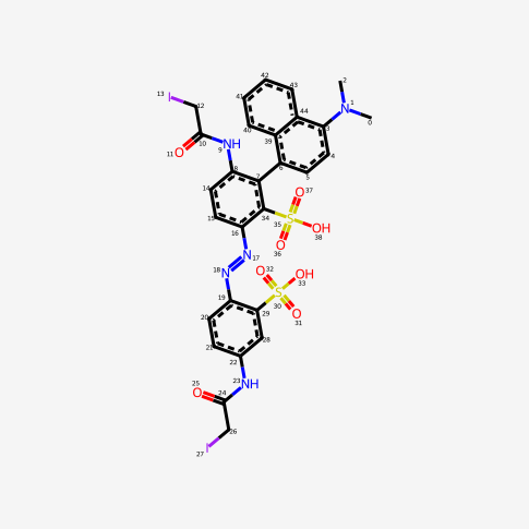 CN(C)c1ccc(-c2c(NC(=O)CI)ccc(N=Nc3ccc(NC(=O)CI)cc3S(=O)(=O)O)c2S(=O)(=O)O)c2ccccc12